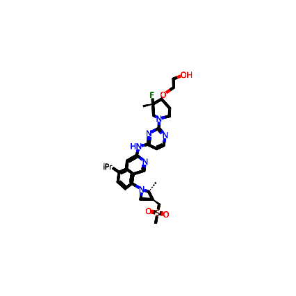 CC(C)c1ccc(N2C[C@H](CS(C)(=O)=O)[C@H]2C)c2cnc(Nc3ccnc(N4CC[C@@H](OCCO)[C@@](C)(F)C4)n3)cc12